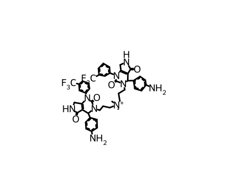 C[N+](C)(CCCN1C(=O)N(c2cccc(C(F)(F)F)c2)C2=C(C(=O)NC2)C1c1ccc(N)cc1)CCCN1C(=O)N(c2cccc(C(F)(F)F)c2)C2=C(C(=O)NC2)C1c1ccc(N)cc1